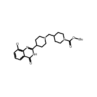 CC(C)(C)OC(=O)N1CCC(CN2CCC(c3nc4c(Cl)cccc4c(=O)[nH]3)CC2)CC1